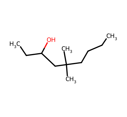 CCCCC(C)(C)CC(O)CC